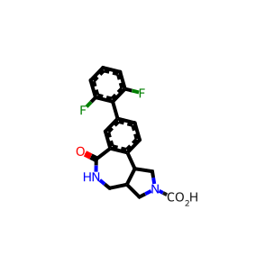 O=C1NCC2CN(C(=O)O)CC2c2ccc(-c3c(F)cccc3F)cc21